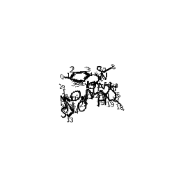 Cc1ccc(-c2sc(C)nc2C(=O)N2C[C@@H]3CC(C)C[C@@H]3[C@H]2CNC(=O)Oc2c(C)nc3sccn23)cc1